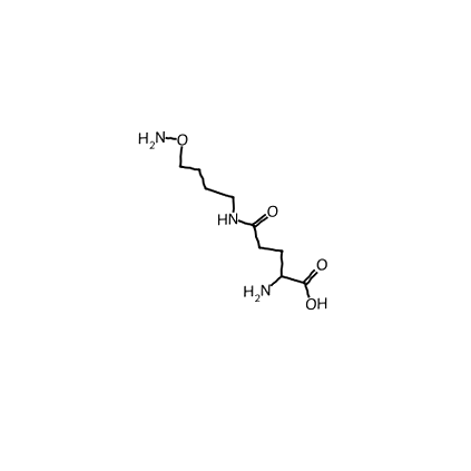 NOCCCCNC(=O)CCC(N)C(=O)O